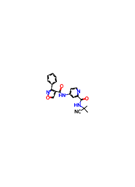 CC(C)(C#N)NC(=O)c1cc(NC(=O)c2conc2-c2ccccc2)ccn1